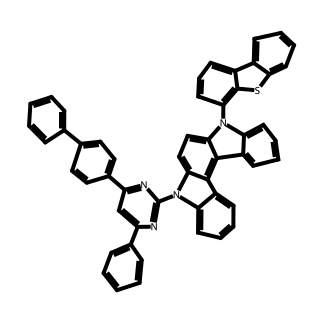 c1ccc(-c2ccc(-c3cc(-c4ccccc4)nc(-n4c5ccccc5c5c6c7ccccc7n(-c7cccc8c7sc7ccccc78)c6ccc54)n3)cc2)cc1